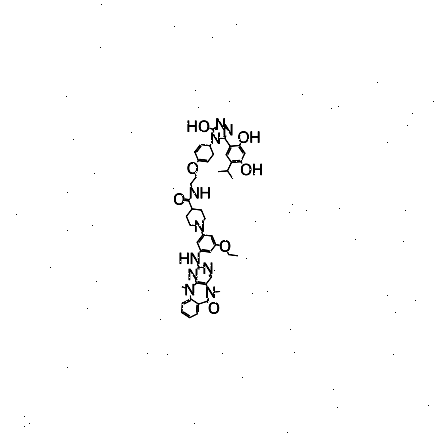 CCOc1cc(Nc2ncc3c(n2)N(C)c2ccccc2C(=O)N3C)cc(N2CCC(C(=O)NCCOC3=CCC(n4c(O)nnc4-c4cc(C(C)C)c(O)cc4O)C=C3)CC2)c1